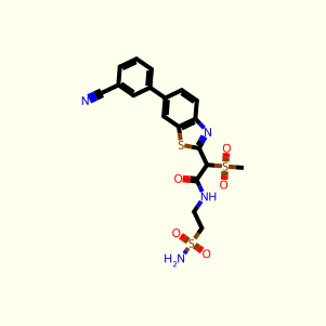 CS(=O)(=O)C(C(=O)NCCS(N)(=O)=O)c1nc2ccc(-c3cccc(C#N)c3)cc2s1